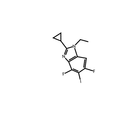 CCn1c(C2CC2)nc2c(F)c(I)c(F)cc21